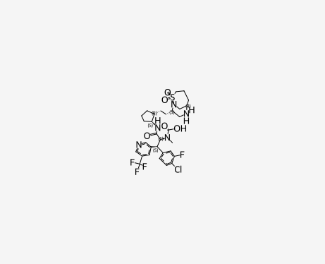 CN(C(=O)O)[C@H](C(=O)N[C@H]1CCC[C@@H]1CC[C@H]1CN[C@@H]2CCCS(=O)(=O)N1C2)[C@H](c1cncc(C(F)(F)F)c1)c1ccc(Cl)c(F)c1